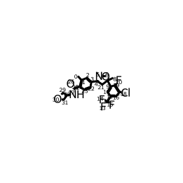 Cc1cc(C2=NOC(C)(c3cc(C(F)(F)F)cc(Cl)c3F)C2)ccc1C(=O)NC1COC1